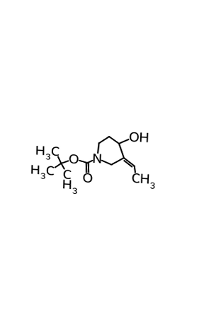 C/C=C1\CN(C(=O)OC(C)(C)C)CCC1O